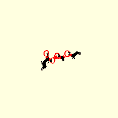 C=CC(=O)OOCOCC